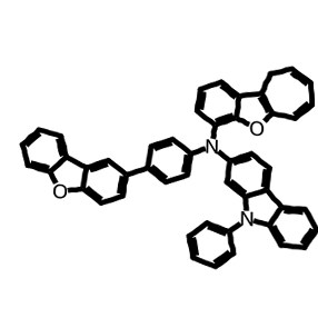 C1=CCc2c(oc3c(N(c4ccc(-c5ccc6oc7ccccc7c6c5)cc4)c4ccc5c6ccccc6n(-c6ccccc6)c5c4)cccc23)C=C1